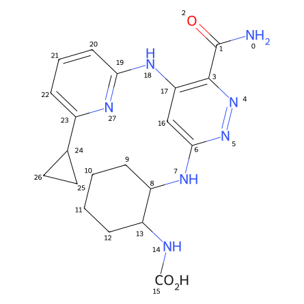 NC(=O)c1nnc(NC2CCCCC2NC(=O)O)cc1Nc1cccc(C2CC2)n1